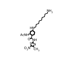 CC(=O)Nc1cc(NCCCCCCCCCN)ccc1C(=O)Nc1nc(C)c([N+](=O)[O-])s1